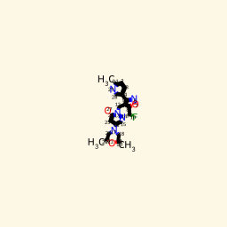 Cc1ccc(-c2noc(CF)c2Cn2ncc(N3C[C@@H](C)O[C@@H](C)C3)cc2=O)cn1